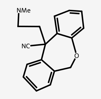 CNCCC1(C#N)c2ccccc2COc2ccccc21